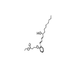 CCCCCCCCC(O)C=CC=Cc1ccccc1OCCCC(=O)OCC